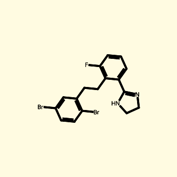 Fc1cccc(C2=NCCN2)c1CCc1cc(Br)ccc1Br